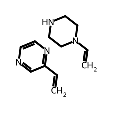 C=CN1CCNCC1.C=Cc1cnccn1